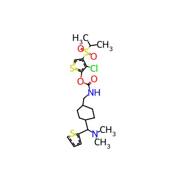 CC(C)S(=O)(=O)c1csc(OC(=O)NCC2CCC(C(c3cccs3)N(C)C)CC2)c1Cl